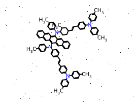 Cc1ccc(N(c2ccc(C)cc2)c2ccc(/C=C/c3ccc(N(c4ccc(C)cc4)c4c5cc6ccccc6cc5c(N(c5ccc(C)cc5)C5CCC(/C=C/c6ccc(N(c7ccc(C)cc7)c7ccc(C)cc7)cc6)CC5C)c5cc6ccccc6cc45)cc3)cc2)cc1